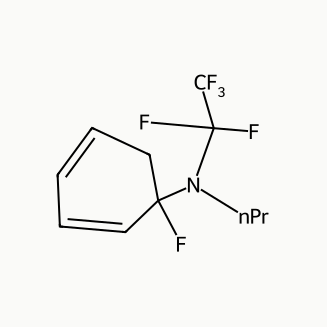 CCCN(C1(F)C=CC=CC1)C(F)(F)C(F)(F)F